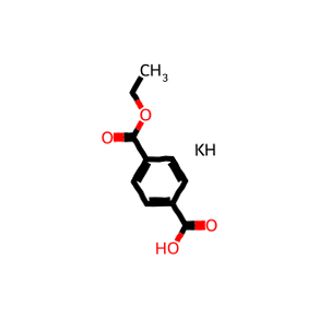 CCOC(=O)c1ccc(C(=O)O)cc1.[KH]